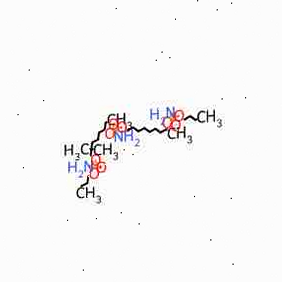 CCCCOP(N)(=O)OCC(C)(C)CCCC(CC)OP(N)(=O)OCCCCCCCC(C)OP(N)(=O)OCCCC